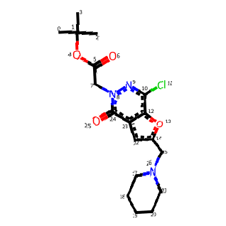 CC(C)(C)OC(=O)Cn1nc(Cl)c2oc(CN3CCCCC3)cc2c1=O